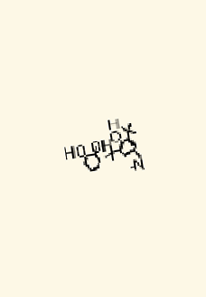 CN(C)Cc1cc(C(C)(C)C)c(O)c(C(C)(C)C)c1.Oc1ccccc1O